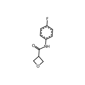 O=C(Nc1ccc(F)cc1)C1COC1